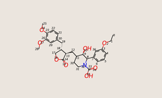 CCOc1cccc(C2[C@H](O)C(C[C@H]3C(=O)OC[C@@H]3Cc3ccc(OC)c(OC)c3)CCN2C(=O)O)c1